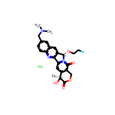 CC[C@@]1(O)C(=O)OCc2c1cc1n(c2=O)[C@@H](OCCF)c2cc3cc(CN(C)C)ccc3nc2-1.Cl